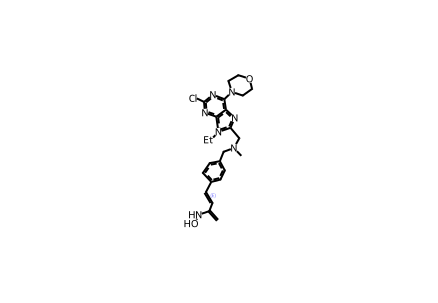 C=C(/C=C/c1ccc(CN(C)Cc2nc3c(N4CCOCC4)nc(Cl)nc3n2CC)cc1)NO